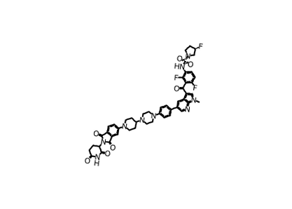 Cn1cc(C(=O)c2c(F)ccc(NS(=O)(=O)N3CC[C@@H](F)C3)c2F)c2cc(-c3ccc(N4CCN(C5CCN(c6ccc7c(c6)C(=O)N(C6CCC(=O)NC6=O)C7=O)CC5)CC4)cc3)cnc21